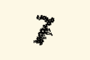 Cc1cc(CNC[C@@H](O)c2ccc(O)c3[nH]c(=O)ccc23)ccc1NC(=O)CCc1ccc(-c2ccccc2)c(NC(=O)OC2CC[N+](C)(C)CC2)c1